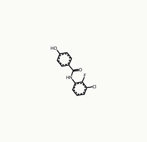 O=C(Nc1cccc(Cl)c1F)c1ccc(O)cc1